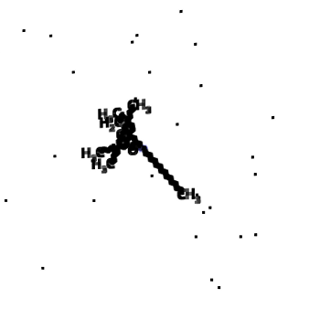 C=C(CC)N(CCCC)c1ccc2c(c1)Oc1cc(N(CCCC)CCCC)ccc1C2CC(C=O)C/C=C/CCCCCCCCCCCCCCC